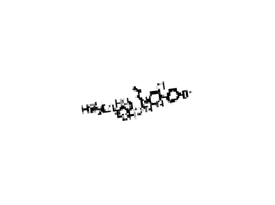 C=CCn1c(O[C@@H]2CO[C@@H]3[C@@H]2OC[C@H]3OCC(C)(C)[SiH](C)C)nc2nc(-c3ccc(Br)cc3)c(Cl)cc21